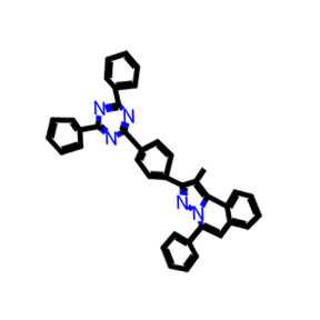 Cc1c(-c2ccc(-c3nc(-c4ccccc4)nc(-c4ccccc4)n3)cc2)nn2c(-c3ccccc3)cc3ccccc3c12